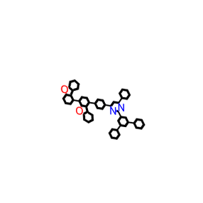 c1ccc(-c2cc(-c3ccccc3)cc(-c3nc(-c4ccccc4)cc(-c4ccc(-c5ccc(-c6cccc7oc8ccccc8c67)c6oc7ccccc7c56)cc4)n3)c2)cc1